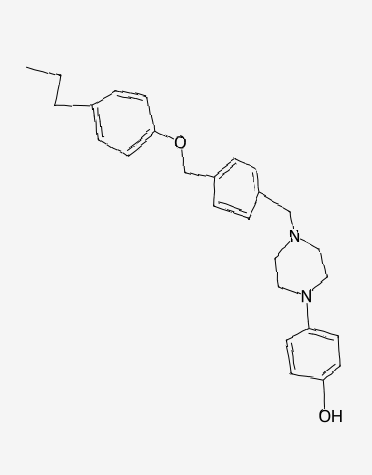 CCCc1ccc(OCc2ccc(CN3CCN(c4ccc(O)cc4)CC3)cc2)cc1